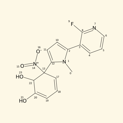 Cn1c(-c2cccnc2F)ccc1C1([N+](=O)[O-])C=CC=C(O)C1O